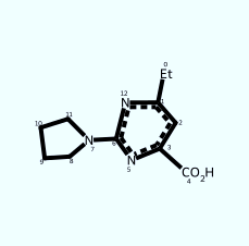 CCc1cc(C(=O)O)nc(N2CCCC2)n1